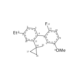 CCc1ccc(-c2cc(OC)ccc2F)c(C2(C)CC2)c1